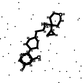 Fc1cnc(C2CCC(CCNC3(C4CC4)CCOCC3)CC2)c(Cl)c1